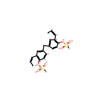 C/C=C\c1cc(Cc2ccc(OS(C)(=O)=O)c(/C=C\C)c2)ccc1OS(C)(=O)=O